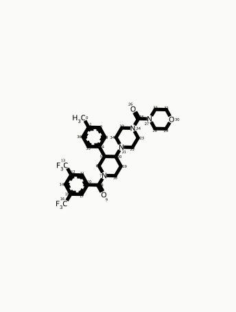 Cc1ccc(C2CN(C(=O)c3cc(C(F)(F)F)cc(C(F)(F)F)c3)CCC2N2CCN(C(=O)N3CCOCC3)CC2)cc1